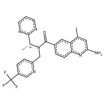 Cc1cc(N)nc2ccc(C(=O)N(Cc3ccc(C(F)(F)F)cn3)[C@H](C)c3ncccn3)cc12